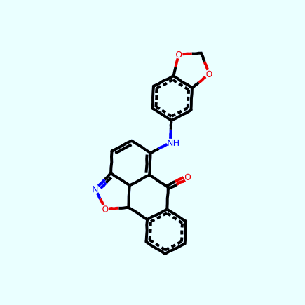 O=C1C2=C(Nc3ccc4c(c3)OCO4)C=CC3=NOC([C]32)c2ccccc21